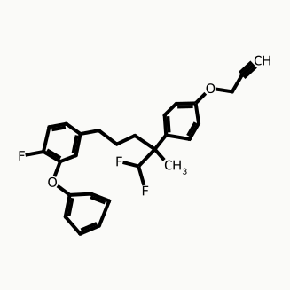 C#CCOc1ccc(C(C)(CCCc2ccc(F)c(Oc3ccccc3)c2)C(F)F)cc1